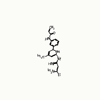 C=CC(=O)Nc1cccc(C2C=C(C)C=C(NC(=N)/C=C(\N)CC)N2)c1